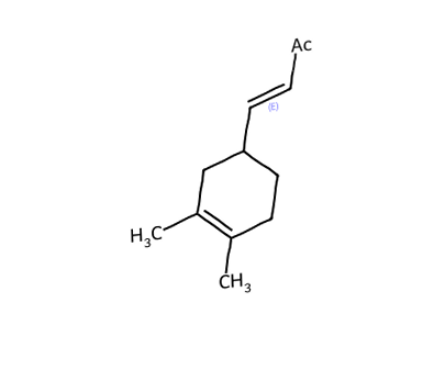 CC(=O)/C=C/C1CCC(C)=C(C)C1